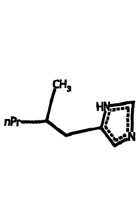 CCCC(C)Cc1cnc[nH]1